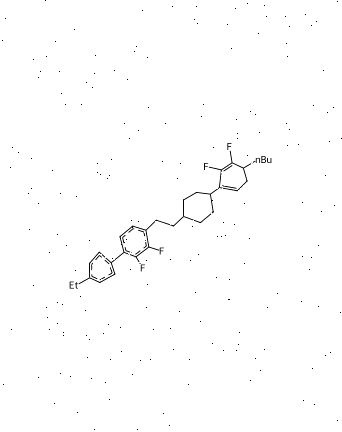 CCCCC1CC=C(C2CCC(CCc3ccc(-c4ccc(CC)cc4)c(F)c3F)CC2)C(F)=C1F